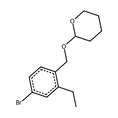 CCc1cc(Br)ccc1COC1CCCCO1